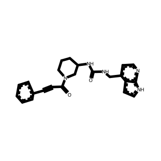 O=C(NCc1ccnc2[nH]ccc12)NC1CCCN(C(=O)C#Cc2ccccc2)C1